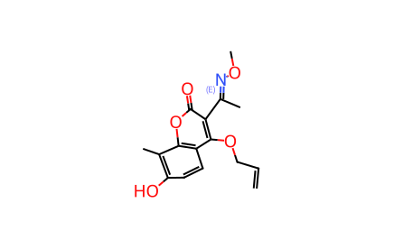 C=CCOc1c(/C(C)=N/OC)c(=O)oc2c(C)c(O)ccc12